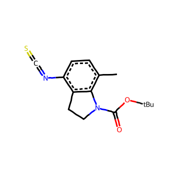 Cc1ccc(N=C=S)c2c1N(C(=O)OC(C)(C)C)CC2